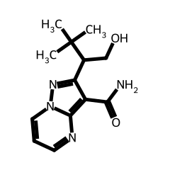 CC(C)(C)C(CO)c1nn2cccnc2c1C(N)=O